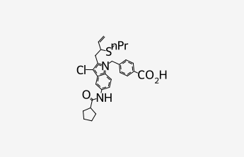 C=CC(Cc1c(Cl)c2cc(NC(=O)C3CCCC3)ccc2n1Cc1ccc(C(=O)O)cc1)SCCC